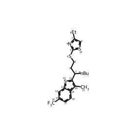 CCCCC(CCSc1nc(CC)cs1)c1sc2cc(C(F)(F)F)ccc2c1C